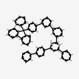 c1ccc(-c2ccc(-c3cc(-c4ccccc4)nc(-c4cccc(-c5cccc(-c6ccc(C7(c8ccccc8)c8ccccc8-c8ccccc87)cc6)c5)c4)n3)cc2)cc1